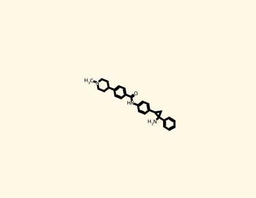 CN1CCC(c2ccc(C(=O)Nc3ccc(C4CC4(N)c4ccccc4)cc3)cc2)CC1